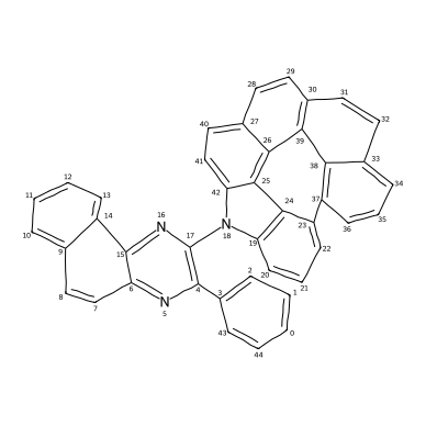 c1ccc(-c2nc3ccc4ccccc4c3nc2-n2c3cccc4c3c3c5c(ccc6ccc7cccc-4c7c65)ccc32)cc1